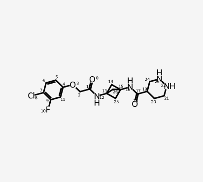 O=C(COc1ccc(Cl)c(F)c1)NC12CC(NC(=O)C3CCNNC3)(C1)C2